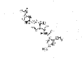 Cc1nc(C)c(C(=O)N[C@@H]2COc3cc(-c4noc(C(F)F)n4)ccc32)o1